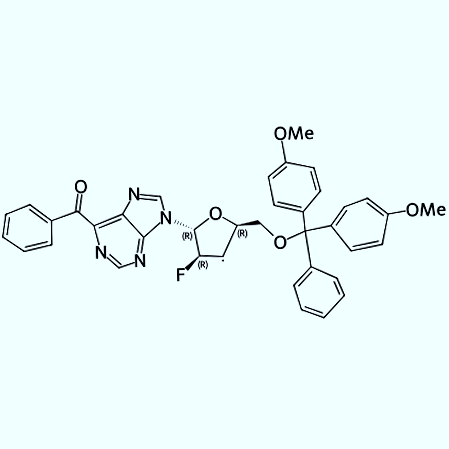 COc1ccc(C(OC[C@H]2[CH][C@@H](F)[C@H](n3cnc4c(C(=O)c5ccccc5)ncnc43)O2)(c2ccccc2)c2ccc(OC)cc2)cc1